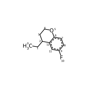 CCC1CCOc2ccc(F)cc21